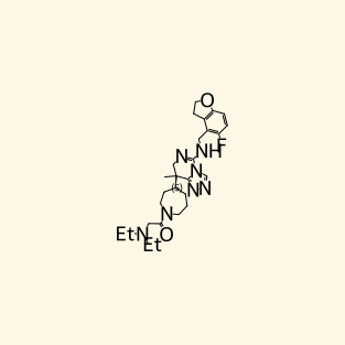 CCN(CC)CC(=O)N1CCC[C@H](C2(C)CN=C(NCc3c(F)ccc4c3CCO4)n3cnnc32)CC1